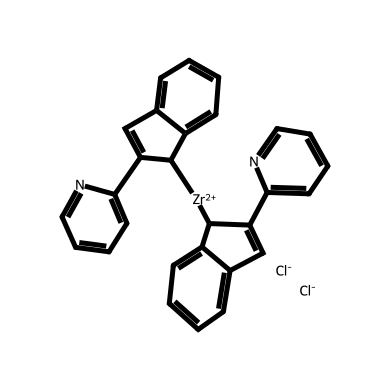 C1=C(c2ccccn2)[CH]([Zr+2][CH]2C(c3ccccn3)=Cc3ccccc32)c2ccccc21.[Cl-].[Cl-]